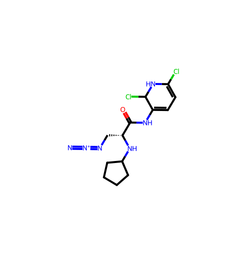 [N-]=[N+]=NC[C@@H](NC1CCCC1)C(=O)NC1=CC=C(Cl)NC1Cl